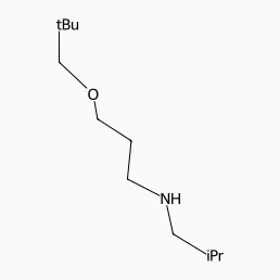 CC(C)CNCCCOCC(C)(C)C